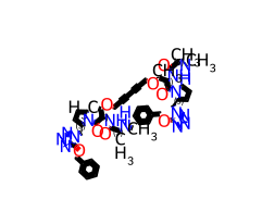 CN[C@@H](C)C(=O)N[C@H](C(=O)N1CCC[C@H]1Cn1nnnc1OCc1ccccc1)C(C)OCC#CC#CCOC(C)[C@H](NC(=O)[C@H](C)NC)C(=O)N1CCC[C@H]1Cn1nnnc1OCc1ccccc1